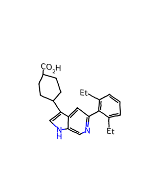 CCc1cccc(CC)c1-c1cc2c(C3CCC(C(=O)O)CC3)c[nH]c2cn1